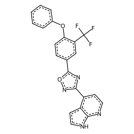 FC(F)(F)c1cc(-c2nc(-c3ccnc4[nH]ccc34)no2)ccc1Oc1ccccc1